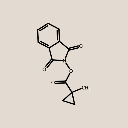 CC1(C(=O)ON2C(=O)c3ccccc3C2=O)CC1